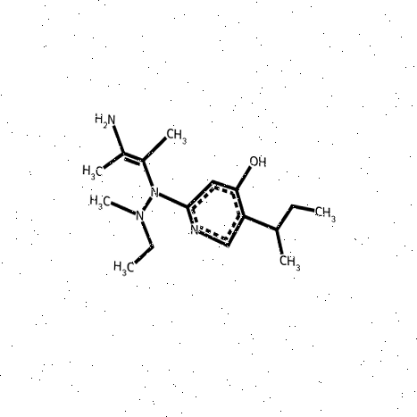 CCC(C)c1cnc(N(/C(C)=C(\C)N)N(C)CC)cc1O